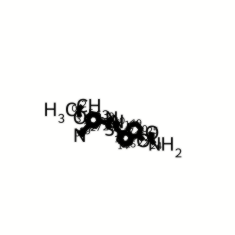 CC(C)Oc1ccc(-c2nnc(-c3cccc4c3CCCC4OC(N)=O)s2)cc1C#N